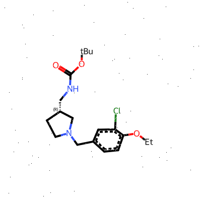 CCOc1ccc(CN2CC[C@H](CNC(=O)OC(C)(C)C)C2)cc1Cl